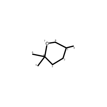 CC1CCC(C)(C)OC1